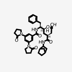 C#CC[C@H](C[C@H](O)[C@H](Cc1ccccc1)NC(=O)c1cc(N2CCCC2=O)cc(N2CCCC2=O)c1)C(=O)NC1CC2CCC1C2